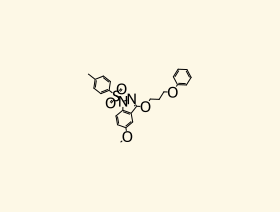 COc1ccc2c(c1)c(OCCCOc1ccccc1)nn2S(=O)(=O)c1ccc(C)cc1